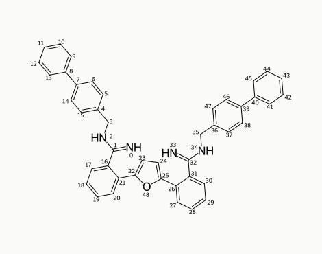 N=C(NCc1ccc(-c2ccccc2)cc1)c1ccccc1-c1ccc(-c2ccccc2C(=N)NCc2ccc(-c3ccccc3)cc2)o1